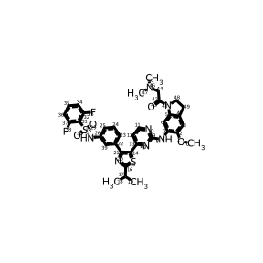 COc1cc2c(cc1Nc1nccc(-c3sc(C(C)C)nc3-c3cccc(NS(=O)(=O)c4c(F)cccc4F)c3)n1)N(C(=O)CN(C)C)CC2